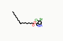 CCCCCCCC/C=C\CCCCCCCC(=O)Oc1c[nH]c2ccc(Br)c(Cl)c12